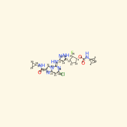 O=C(NC12CC(C1)C2)O[C@@H]1CC[C@H](c2cc(Nc3nc(Cl)cc4nc(C(=O)NC5CC5)cn34)n[nH]2)[C@@H]1F